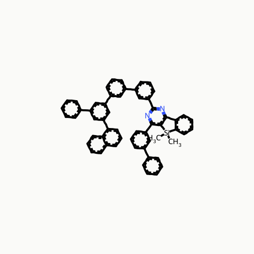 C[Si]1(C)c2ccccc2-c2nc(-c3cccc(-c4cccc(-c5cc(-c6ccccc6)cc(-c6cccc7ccccc67)c5)c4)c3)nc(-c3cccc(-c4ccccc4)c3)c21